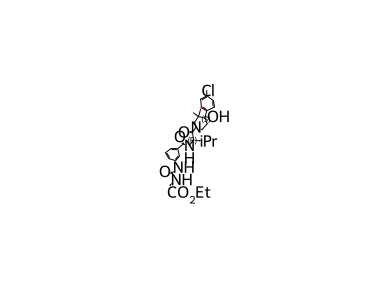 CCOC(=O)CNC(=O)Nc1cccc(C(=O)N[C@@H](C(=O)N2CC[C@](O)(c3ccc(Cl)cc3)C(C)(C)C2)C(C)C)c1